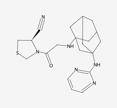 N#C[C@@H]1CSCN1C(=O)CNC12CC3CC(C1)CC(Nc1ncccn1)(C3)C2